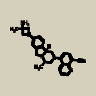 C[C@@H]1CN(c2ccc(C#N)c3ncccc23)C[C@@H]2c3ccc(N4CC(C)(N)C4)cc3CN12